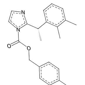 Cc1ccc(COC(=O)n2ccnc2[C@@H](C)c2cccc(C)c2C)cc1